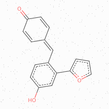 O=C1C=CC(=Cc2ccc(O)cc2-c2ccco2)C=C1